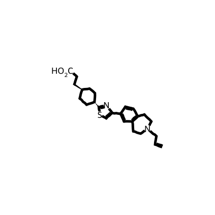 C=CCN1CCc2ccc(-c3csc([C@H]4CC[C@H](CCC(=O)O)CC4)n3)cc2CC1